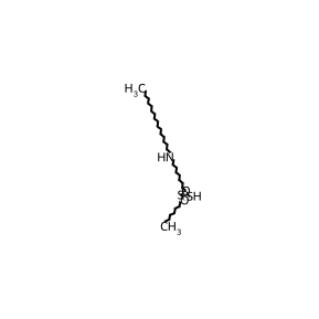 CCCCCCCCCCCCCCCCCCNCCCCCCCCOP(=S)(S)OCCCCCCCC